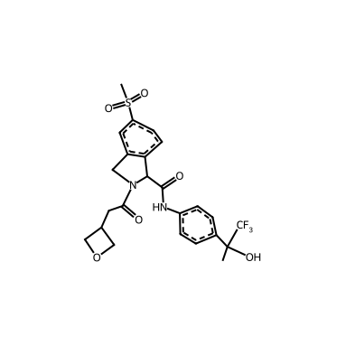 CC(O)(c1ccc(NC(=O)C2c3ccc(S(C)(=O)=O)cc3CN2C(=O)CC2COC2)cc1)C(F)(F)F